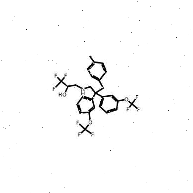 Cc1ccc(CC(CNCC(O)C(F)(F)F)(c2cccc(OC(F)(F)F)c2)c2cccc(OC(F)(F)F)c2)cc1